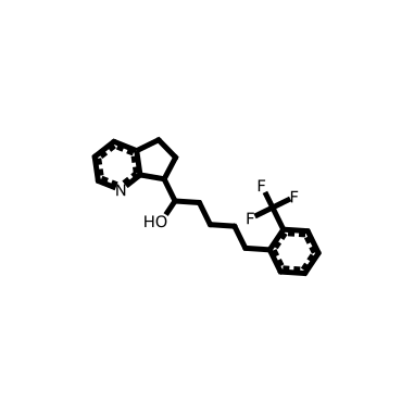 OC(CCCCc1ccccc1C(F)(F)F)C1CCc2cccnc21